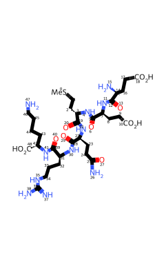 CSCC[C@H](NC(=O)[C@H](CCC(=O)O)NC(=O)[C@@H](N)CCC(=O)O)C(=O)N[C@@H](CCC(N)=O)C(=O)N[C@@H](CCCNC(=N)N)C(=O)N[C@@H](CCCCN)C(=O)O